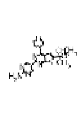 COC(C)(C)c1cc2c(N3CCOCC3)nc(-c3cnc(N)nc3)nc2s1